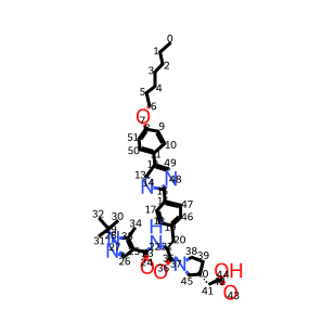 CCCCCCCOc1ccc(-c2cnc(-c3ccc(C[C@H](NC(=O)c4cnn(C(C)(C)C)c4C)C(=O)N4CC[C@H](CC(=O)O)C4)cc3)nc2)cc1